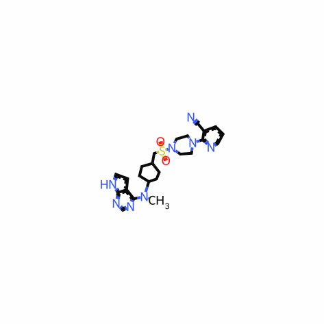 CN(c1ncnc2[nH]ccc12)C1CCC(CS(=O)(=O)N2CCN(c3ncccc3C#N)CC2)CC1